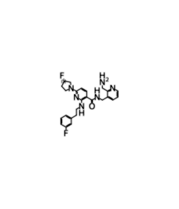 NCc1ncccc1CNC(=O)c1ccc(N2CC[C@H](F)C2)nc1NCCc1cccc(F)c1